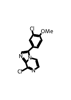 COc1ccc(-c2cnc3c(Cl)nccn23)cc1Cl